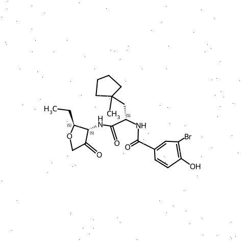 CC[C@@H]1OCC(=O)[C@H]1NC(=O)[C@H](CC1(C)CCCC1)NC(=O)c1ccc(O)c(Br)c1